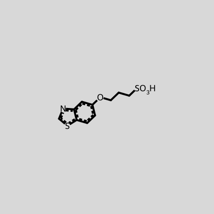 O=S(=O)(O)CCCOc1ccc2scnc2c1